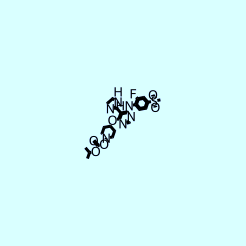 CC(C)OC(=O)ON1CCC(Oc2ncnc(Nc3ccc(S(C)(=O)=O)cc3F)c2C2=NCCN2)CC1